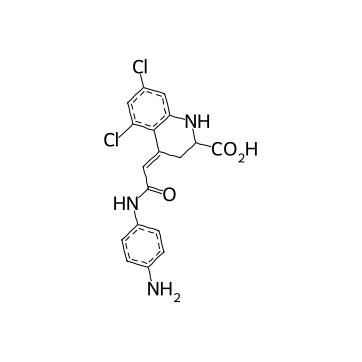 Nc1ccc(NC(=O)/C=C2\CC(C(=O)O)Nc3cc(Cl)cc(Cl)c32)cc1